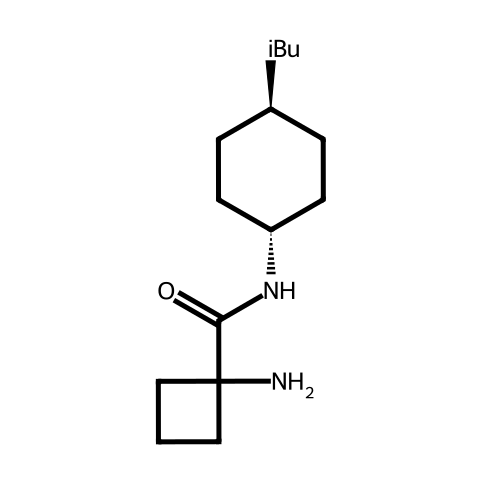 CCC(C)[C@H]1CC[C@H](NC(=O)C2(N)CCC2)CC1